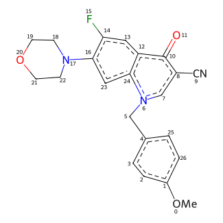 COc1ccc(Cn2cc(C#N)c(=O)c3cc(F)c(N4CCOCC4)cc32)cc1